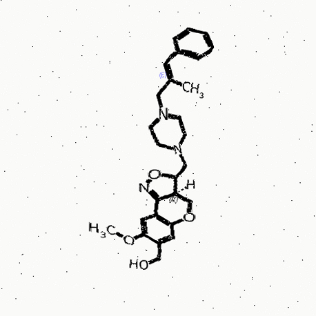 COc1cc2c(cc1CO)OC[C@H]1C2=NOC1CN1CCN(C/C(C)=C/c2ccccc2)CC1